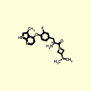 Cc1c[nH]c2nccc(Oc3ccc(C[C@H](N)C(=O)N4CC(N(C)C)C4)cc3F)c12